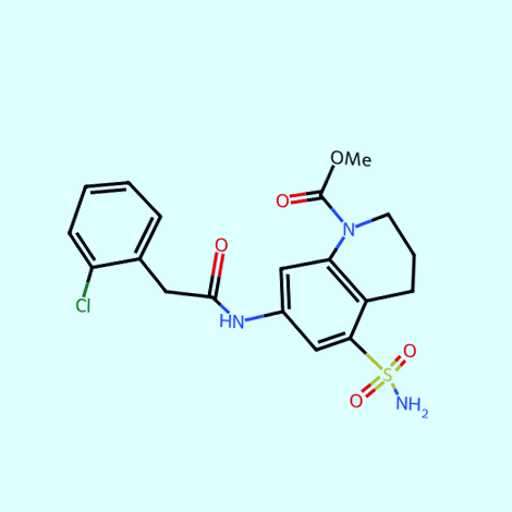 COC(=O)N1CCCc2c1cc(NC(=O)Cc1ccccc1Cl)cc2S(N)(=O)=O